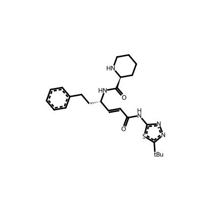 CC(C)(C)c1nnc(NC(=O)/C=C/[C@H](CCc2ccccc2)NC(=O)[C@@H]2CCCCN2)s1